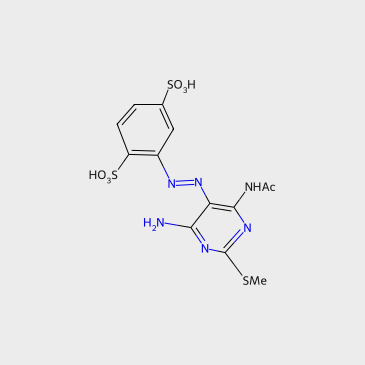 CSc1nc(N)c(/N=N/c2cc(S(=O)(=O)O)ccc2S(=O)(=O)O)c(NC(C)=O)n1